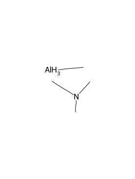 CC.CN(C)C.[AlH3]